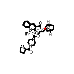 CC(C)n1c(=O)c(C(=O)N[C@@H]2C[C@H]3CC[C@@H](C2)N3CCCOC(=O)N2CCN(C(=O)C3CCCO3)CC2)cc2ccccc21